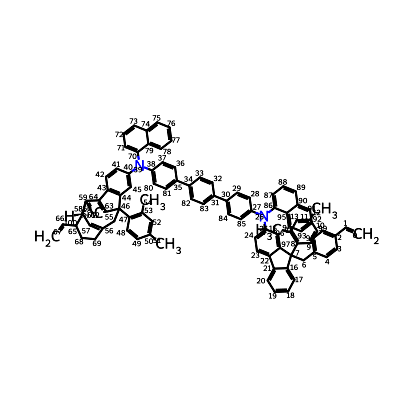 C=Cc1ccc(CC2(c3ccc(C)cc3C)c3ccccc3-c3ccc(N(c4ccc(-c5ccc(-c6ccc(N(c7ccc8c(c7)C7(c9ccc(C)cc9C)CC9=C[C@@H](C%10=CCCC7=C%108)C(C=C)CC9)c7cccc8ccccc78)cc6)cc5)cc4)c4cccc5ccccc45)cc32)cc1